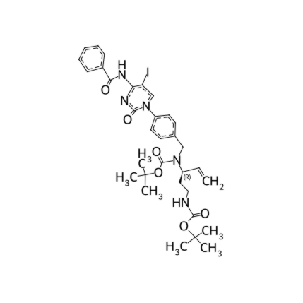 C=C[C@@H](CCNC(=O)OC(C)(C)C)N(Cc1ccc(-n2cc(I)c(NC(=O)c3ccccc3)nc2=O)cc1)C(=O)OC(C)(C)C